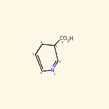 O=C(O)C1C=NC=CC1